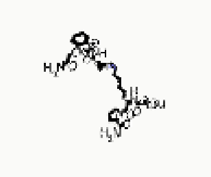 CC(C)(C)OC(=O)N[C@@H](CCCCC/C=C\[C@@H]1C[C@@H]1C(=O)NS(=O)(=O)c1ccccc1OCC(N)=O)C(=O)N1CCC[C@H]1C(N)=O